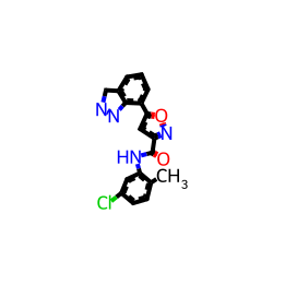 Cc1ccc(Cl)cc1NC(=O)c1cc(-c2cccc3c2N=NC3)on1